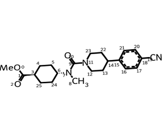 COC(=O)[C@H]1CC[C@H](N(C)C(=O)N2CCC(c3ccc(C#N)cc3)CC2)CC1